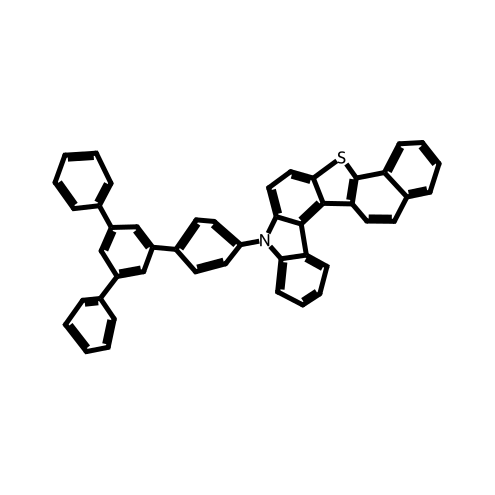 c1ccc(-c2cc(-c3ccccc3)cc(-c3ccc(-n4c5ccccc5c5c6c(ccc54)sc4c5ccccc5ccc46)cc3)c2)cc1